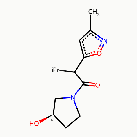 Cc1cc(C(C(=O)N2CC[C@@H](O)C2)C(C)C)on1